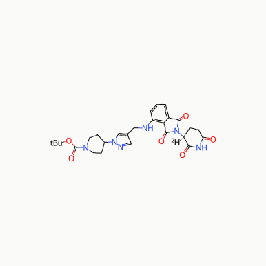 [2H][C@]1(N2C(=O)c3cccc(NCc4cnn(C5CCN(C(=O)OC(C)(C)C)CC5)c4)c3C2=O)CCC(=O)NC1=O